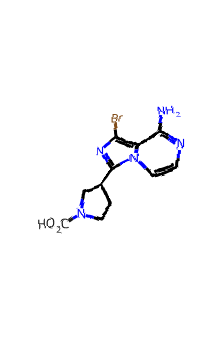 Nc1nccn2c(C3CCN(C(=O)O)C3)nc(Br)c12